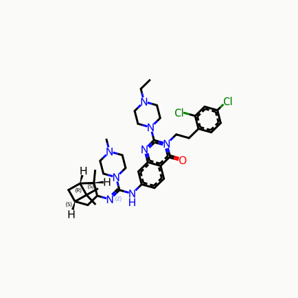 CCN1CCN(c2nc3cc(N/C(=N/C4C[C@@H]5C[C@H]([C@@H]4C)C5(C)C)N4CCN(C)CC4)ccc3c(=O)n2CCc2ccc(Cl)cc2Cl)CC1